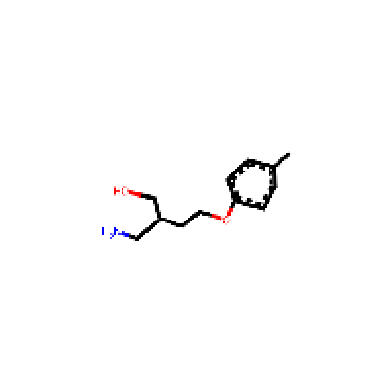 Cc1ccc(OCCC(CN)CO)cc1